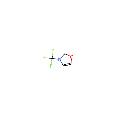 FC(F)(F)N1[C]=COC1